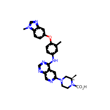 Cc1cc(Nc2ncnc3cnc(N4CCN(C(=O)O)[C@H](C)C4)cc23)ccc1Oc1ccc2c(c1)ncn2C